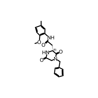 COc1ccc(C)cc1NC(=O)C[C@H]1NC(=O)CN(Cc2ccccc2)C1=O